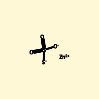 O=S(=O)([O-])[S-].[Zn+2]